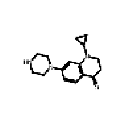 O=C1CCN(C2CC2)c2cc(N3CCNCC3)ccc21